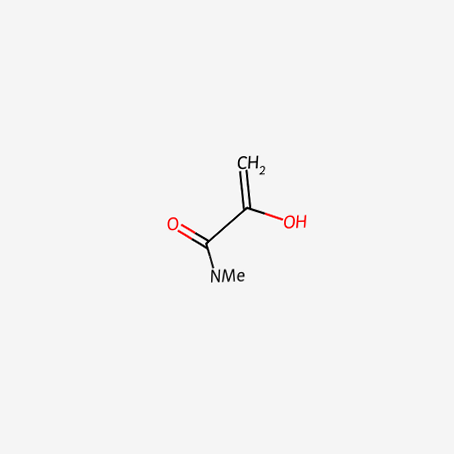 C=C(O)C(=O)NC